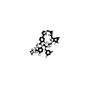 Cn1nc(NS(C)(=O)=O)c2c(Cl)ccc(-n3c([C@H](Cc4cc(F)cc(F)c4)NC(=O)Cn4nc(C(F)F)c5c4C(F)(F)C4CC54)nc4cc(-c5ccn(CC6CC6)n5)ccc4c3=O)c21